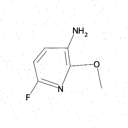 COc1nc(F)ccc1N